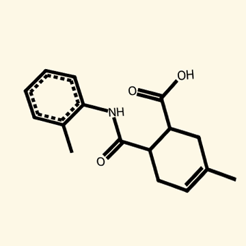 CC1=CCC(C(=O)Nc2ccccc2C)C(C(=O)O)C1